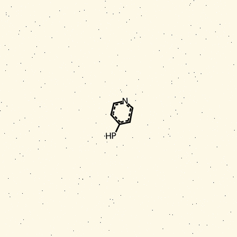 [PH]c1ccncc1